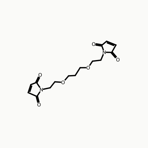 O=C1C=CC(=O)N1CCOCCCOCCN1C(=O)C=CC1=O